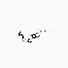 CC(C)(C)OC(=O)N1CCc2cc(N3CC[C@H](NS(=O)(=O)C=Cc4ccc(Cl)s4)C3=O)c(Cl)cc2C1